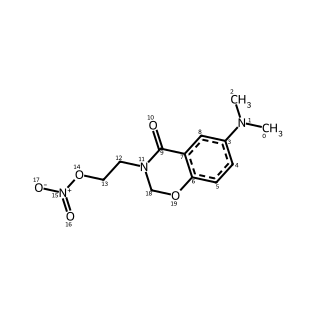 CN(C)c1ccc2c(c1)C(=O)N(CCO[N+](=O)[O-])CO2